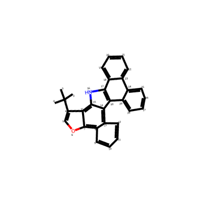 CC(C)(C)c1coc2c3ccccc3c3c([nH]c4c5ccccc5c5ccccc5c43)c12